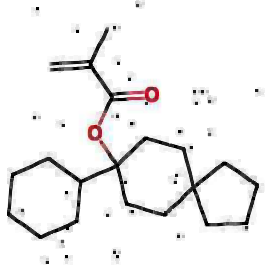 C=C(C)C(=O)OC1(C2CCCCC2)CCC2(CCCC2)CC1